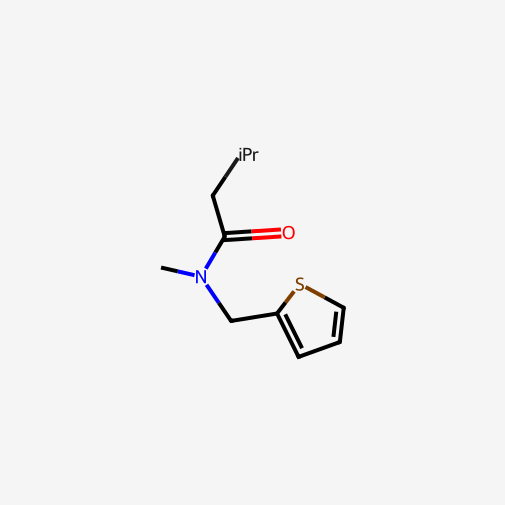 CC(C)CC(=O)N(C)Cc1cccs1